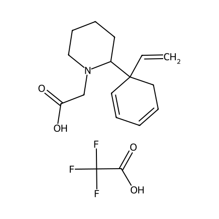 C=CC1(C2CCCCN2CC(=O)O)C=CC=CC1.O=C(O)C(F)(F)F